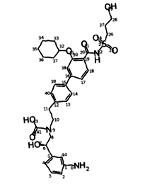 Nc1cccc([C@@H](O)CN(CCc2ccc(-c3ccc(C(=O)NS(=O)(=O)CCCO)c(OC4CCCCC4)c3)cc2)C(=O)O)c1